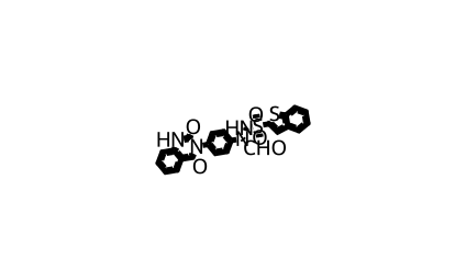 O=CN(NS(=O)(=O)c1cc2ccccc2s1)c1ccc(-n2c(=O)[nH]c3ccccc3c2=O)cc1